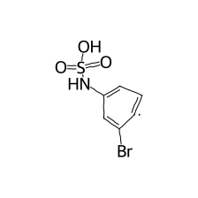 O=S(=O)(O)Nc1cc[c]c(Br)c1